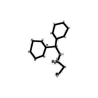 CC(C)C[SiH2]OC(C1CCCCC1)C1CCCCC1